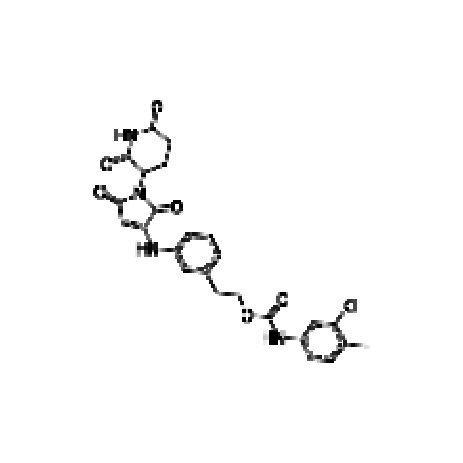 Cc1ccc(NC(=O)OCCc2cccc(NC3=CC(=O)N(C4CCC(=O)NC4=O)C3=O)c2)cc1Cl